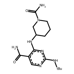 CC(C)(C)Nc1ncc(C(N)=O)c(NC2CCCN(C(N)=O)C2)n1